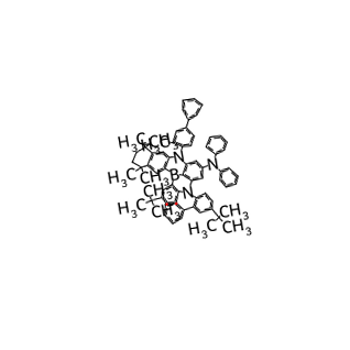 Cc1cc(-c2ccccc2)ccc1N1c2cc3c(cc2B2c4cc(C(C)(C)C)ccc4N(c4ccc(C(C)(C)C)cc4-c4ccccc4)c4cc(N(c5ccccc5)c5ccccc5)cc1c42)C(C)(C)CCC3(C)C